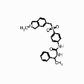 CC(NC(=O)Nc1ccc(S(=O)(=O)Cc2ccc3c(c2)CN(C)C3)cc1)c1ccccc1